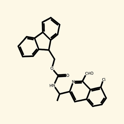 CC(NC(=O)OCC1c2ccccc2-c2ccccc21)c1cc2cccc(Cl)c2c(C=O)n1